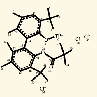 Cc1cc(C(C)(C)C)c([O][Ti+3])c(-c2c(C)c(C)cc(C(C)(C)C)c2OC(=O)C(C)(C)C)c1C.[Cl-].[Cl-].[Cl-]